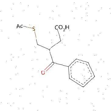 CC(=O)SCC(CC(=O)O)C(=O)c1ccccc1